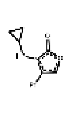 CCc1coc(=O)n1PC1CC1